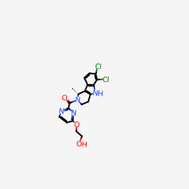 C[C@@H]1c2c([nH]c3c(Cl)c(Cl)ccc23)CCN1C(=O)c1nccc(OCCO)n1